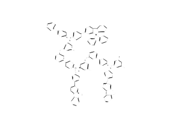 Cc1cc(C)cc(N(c2ccc(-c3cccc(Cc4cc(C)cc(N(c5ccc(-c6cccc(Cc7cc(C)cc(N(c8ccc(-c9ccccc9)cc8)c8ccc(-c9ccc%10c(c9)C(c9ccccc9)(c9ccccc9)c9ccccc9-%10)cc8)c7)c6)cc5)c5ccc(-c6ccc7c(c6)oc6ccccc67)cc5)c4)c3)cc2)c2ccc(-c3ccc4c(c3)sc3ccccc34)cc2)c1